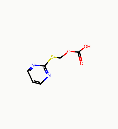 O=C(O)OCSc1ncccn1